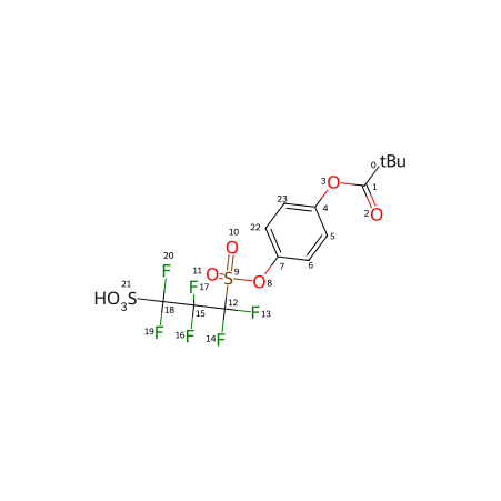 CC(C)(C)C(=O)Oc1ccc(OS(=O)(=O)C(F)(F)C(F)(F)C(F)(F)S(=O)(=O)O)cc1